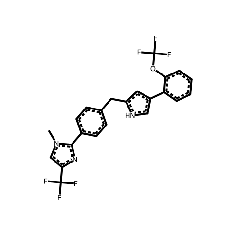 Cn1cc(C(F)(F)F)nc1-c1ccc(Cc2cc(-c3ccccc3OC(F)(F)F)c[nH]2)cc1